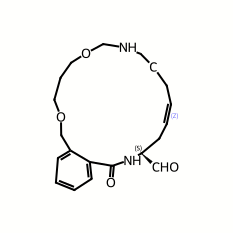 O=C[C@@H]1C/C=C\CCCNCOCCCOCc2ccccc2C(=O)N1